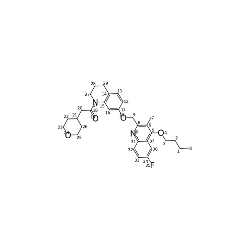 CCCCOc1c(C)c(COc2ccc3c(c2)N(C(=O)CC2CCOCC2)CCC3)nc2ccc(F)cc12